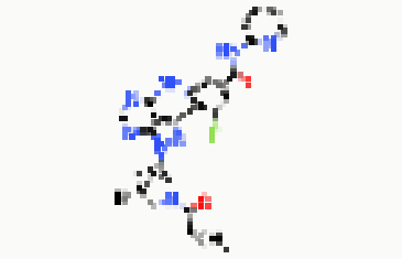 C=CC(=O)N1C[C@@H]2CC1C(n1nc(-c3ccc(C(=O)Nc4ccccn4)cc3F)c3c(N)ncnc31)C2